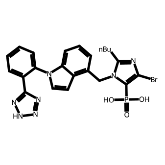 CCCCc1nc(Br)c(P(=O)(O)O)n1Cc1cccc2c1ccn2-c1ccccc1-c1nn[nH]n1